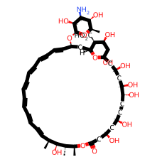 C[C@@H]1[C@H](O)[C@@H](C)/C=C/C=C/C=C/C=C/C=C/C=C/C=C/[C@H](O[C@H]2O[C@H](C)[C@@H](O)[C@H](N)[C@@H]2O)C[C@@H]2O[C@](O)(C[C@@H](O)C[C@@H](O)[C@H](O)CC[C@@H](O)C[C@@H](O)CC(=O)O[C@H]1C)C[C@H](O)[C@H]2C(=O)O